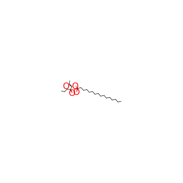 CCCCCCCCCCCCCCCC(=O)OC1=C(C)OC(CC)C1=O